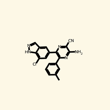 Cc1cccc(-c2nc(N)c(C#N)nc2-c2cc(Cl)c3[nH]ncc3c2)c1